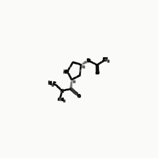 CN(C)C(=O)[C@H]1C[C@@H](OC(=O)C(F)(F)F)CN1